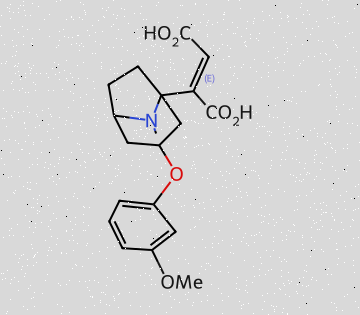 COc1cccc(OC2CC3CCC(/C(=C\C(=O)O)C(=O)O)(C2)N3C)c1